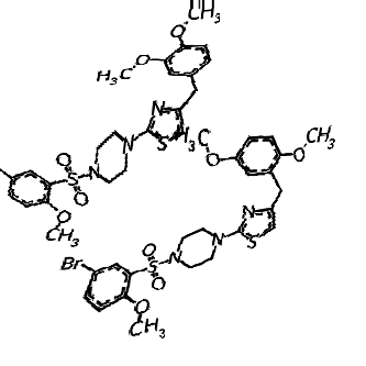 COc1ccc(Cc2csc(N3CCN(S(=O)(=O)c4cc(Br)ccc4OC)CC3)n2)cc1OC.COc1ccc(OC)c(Cc2csc(N3CCN(S(=O)(=O)c4cc(Br)ccc4OC)CC3)n2)c1